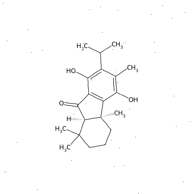 Cc1c(O)c2c(c(O)c1C(C)C)C(=O)[C@@H]1C(C)(C)CCC[C@]21C